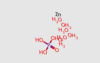 O.O.O.O.O.O.O=P(O)(O)O.[Zn]